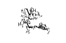 Br.C=CCN(C)C.C=CCN(C)C.CCCC=C(C)C(N)=O.CCCC=C(C)C(N)=O.Cl